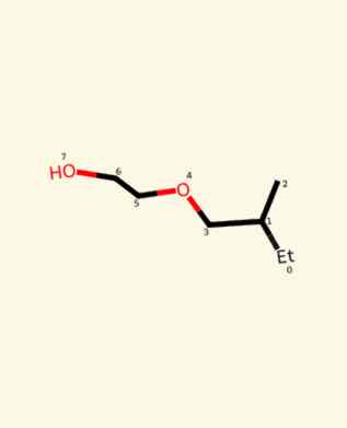 CCC(C)COCCO